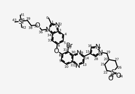 Cc1nc2ccc(Oc3ccc4ncc(-c5cnn(CC6CCS(=O)(=O)CC6)c5)nc4c3Br)cc2n1COCC[Si](C)(C)C